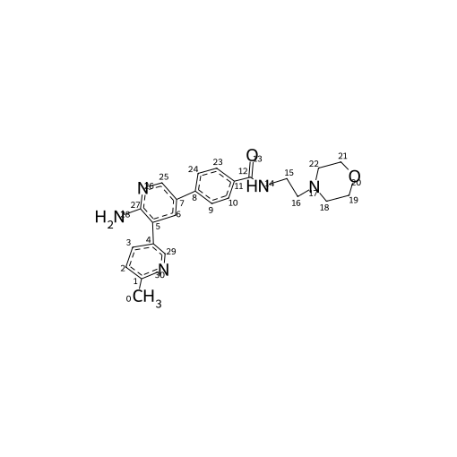 Cc1ccc(-c2cc(-c3ccc(C(=O)NCCN4CCOCC4)cc3)cnc2N)cn1